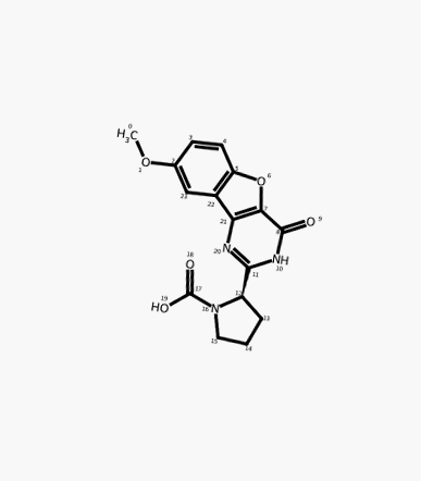 COc1ccc2oc3c(=O)[nH]c([C@H]4CCCN4C(=O)O)nc3c2c1